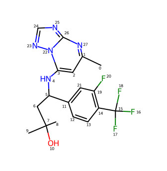 Cc1cc(NC(CC(C)(C)O)c2ccc(C(F)(F)F)c(F)c2)n2ncnc2n1